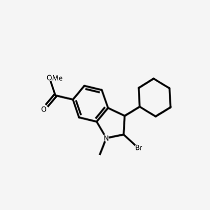 COC(=O)c1ccc2c(c1)N(C)C(Br)C2C1CCCCC1